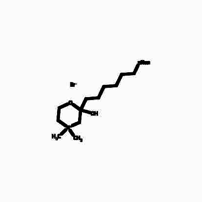 CCCCCCCCCCCCCCCC1(O)C[N+](C)(C)CCO1.[Br-]